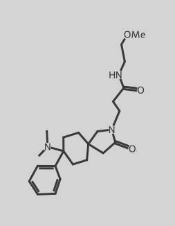 COCCNC(=O)CCN1CC2(CCC(c3ccccc3)(N(C)C)CC2)CC1=O